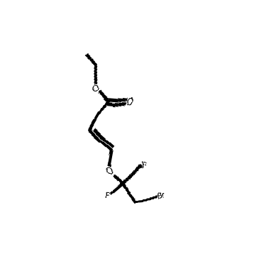 CCOC(=O)C=COC(F)(F)CBr